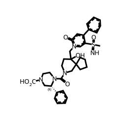 CS(=N)(=O)c1cn(CC2(O)CCN(C(=O)N3CCN(C(=O)O)C[C@H]3c3ccccc3)CC23CCCC3)c(=O)cc1-c1ccccc1